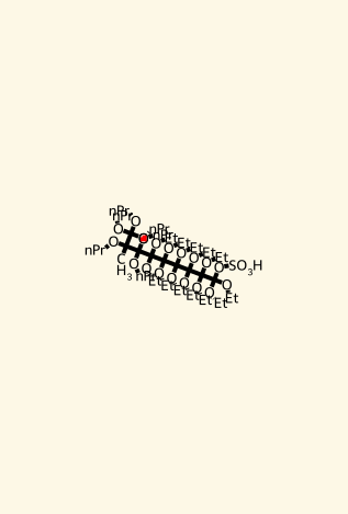 CCCOC(OCCC)(OCCC)C(C)(OCCC)C(OCCC)(OCCC)C(OCC)(OCC)C(OCC)(OCC)C(OCC)(OCC)C(OCC)(OCC)C(OCC)(OCC)C(OCC)(OCC)OS(=O)(=O)O